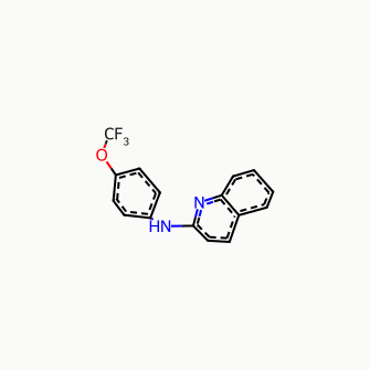 FC(F)(F)Oc1ccc(Nc2ccc3ccccc3n2)cc1